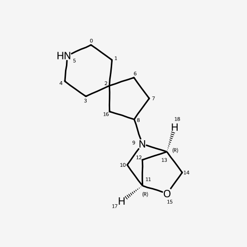 C1CC2(CCN1)CCC(N1C[C@H]3C[C@@H]1CO3)C2